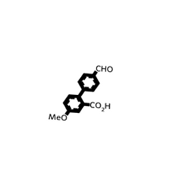 COc1ccc(-c2ccc(C=O)cc2)c(C(=O)O)c1